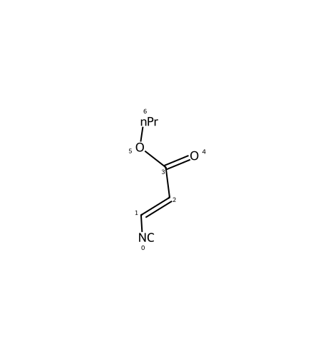 [C-]#[N+]C=CC(=O)OCCC